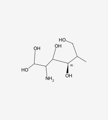 CC(CO)[C@@H](O)C(O)C(N)C(O)O